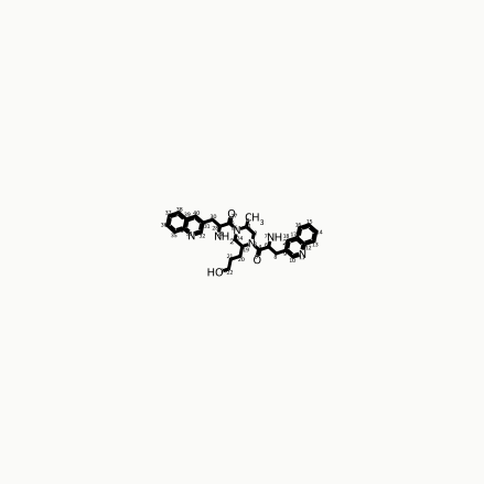 CC1CN(C(=O)C(N)Cc2cnc3ccccc3c2)C(CCCO)CN1C(=O)C(N)Cc1cnc2ccccc2c1